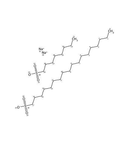 CCCCCCCCCCCCCCCCCCS(=O)(=O)[O-].CCCCCCCCS(=O)(=O)[O-].[Na+].[Na+]